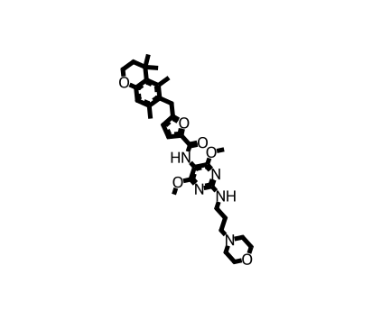 COc1nc(NCCCN2CCOCC2)nc(OC)c1NC(=O)c1ccc(Cc2c(C)cc3c(c2C)C(C)(C)CCO3)o1